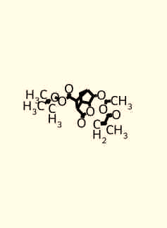 C=C(C)C(=O)OC(C)OC1C2CC3C1OC(=O)C3C2C(=O)OOC(C)(C)C